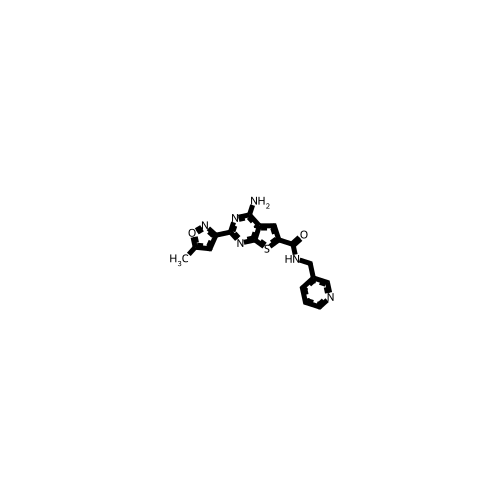 Cc1cc(-c2nc(N)c3cc(C(=O)NCc4cccnc4)sc3n2)no1